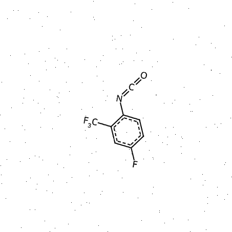 O=C=Nc1ccc(F)cc1C(F)(F)F